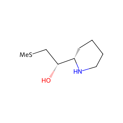 CSC[C@@H](O)[C@@H]1CCCCN1